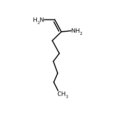 CCCCCC/C(N)=C\N